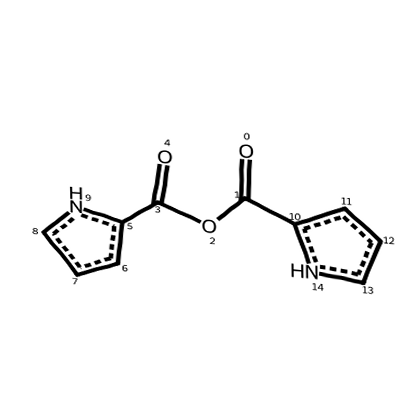 O=C(OC(=O)c1ccc[nH]1)c1ccc[nH]1